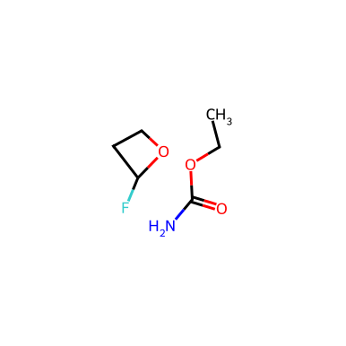 CCOC(N)=O.FC1CCO1